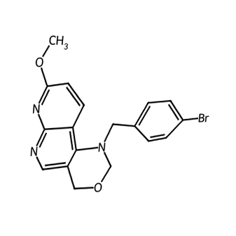 COc1ccc2c3c(cnc2n1)COCN3Cc1ccc(Br)cc1